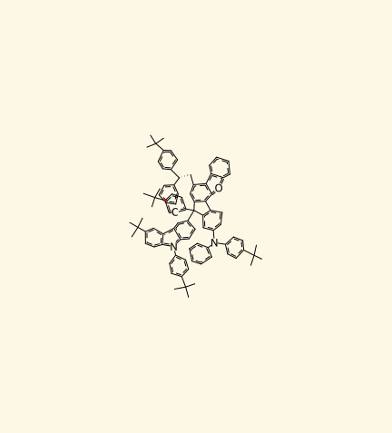 CC(C)(C)c1ccc([C@H](Cc2cc3c(c4oc5ccccc5c24)-c2ccc(N(c4ccccc4)c4ccc(C(C)(C)C)cc4)cc2C3(c2ccc(C(C)(C)C)cc2)c2ccc3c(c2)c2cc(C(C)(C)C)ccc2n3-c2ccc(C(C)(C)C)cc2)c2ccccc2)cc1